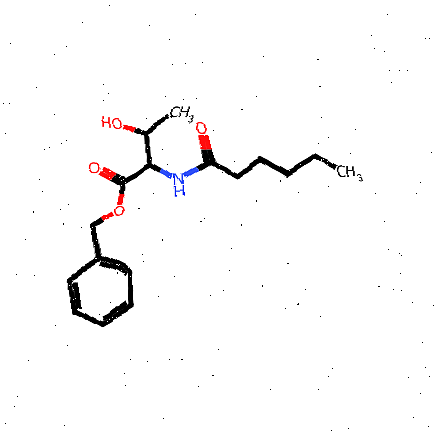 CCCCCC(=O)NC(C(=O)OCc1ccccc1)C(C)O